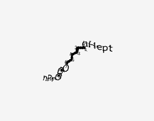 CCCCCCCCCCCCCOOOCCC